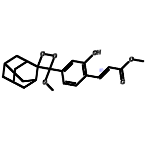 COC(=O)/C=C/c1ccc(C2(OC)OOC23C2CC4CC(C2)CC3C4)cc1O